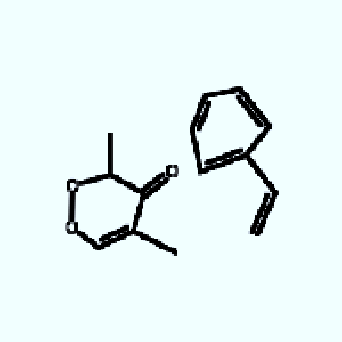 C=Cc1ccccc1.CC1=COOC(C)C1=O